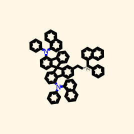 c1ccc([C@H](CCc2ccc3c(c2)C2(c4ccccc4-c4c(N(c5ccccc5)c5cccc6ccccc56)cccc42)c2cccc(N(c4ccccc4)c4cccc5ccccc45)c2-3)c2cccc3ccccc23)cc1